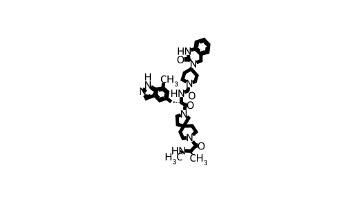 CN[C@H](C)C(=O)N1CCC2(CCN(C(=O)[C@H](Cc3cc(C)c4[nH]ncc4c3)NC(=O)N3CCC(N4Cc5ccccc5NC4=O)CC3)C2)CC1